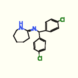 Clc1ccc(C(N=C2CCCCCN2)c2ccc(Cl)cc2)cc1